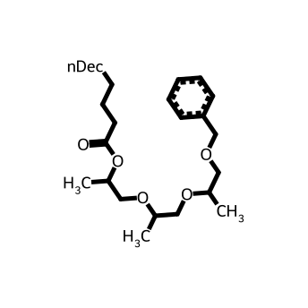 CCCCCCCCCCCCCC(=O)OC(C)COC(C)COC(C)COCc1ccccc1